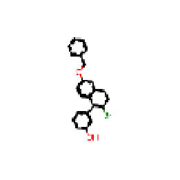 Oc1cccc(C2=C(Br)CCc3cc(OCc4ccccc4)ccc32)c1